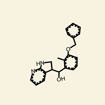 Cc1c(OCc2ccccc2)cccc1C(O)C1CNc2ncccc21